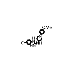 COc1ccc(N2CCC(NC(=N)Nc3ccc(Cl)cc3)CC2)cc1